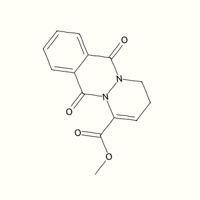 COC(=O)C1=CCCn2c(=O)c3ccccc3c(=O)n21